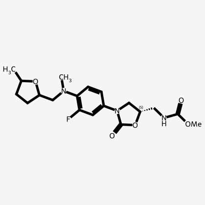 COC(=O)NC[C@H]1CN(c2ccc(N(C)CC3CCC(C)O3)c(F)c2)C(=O)O1